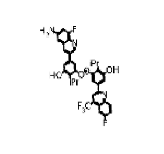 CC(C)c1c(O)cc(-c2cnc3c(F)cc(N)cc3c2)cc1OOc1cc(-c2cc(C(F)(F)F)c3cc(F)ccc3n2)cc(O)c1C(C)C